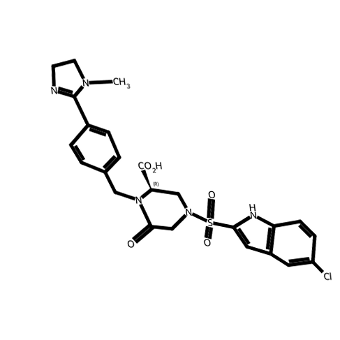 CN1CCN=C1c1ccc(CN2C(=O)CN(S(=O)(=O)c3cc4cc(Cl)ccc4[nH]3)C[C@@H]2C(=O)O)cc1